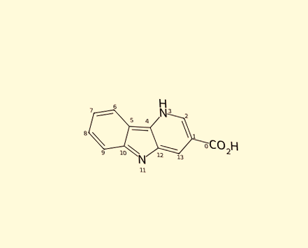 O=C(O)c1c[nH]c2c3ccccc3nc-2c1